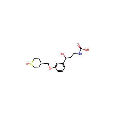 O=C(O)NCCC(O)c1cccc(OCC2CC[S+]([O-])CC2)c1